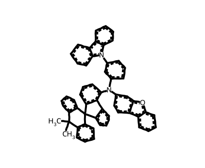 CC1(C)c2ccccc2C2(c3ccccc3-c3c(N(c4cccc(-n5c6ccccc6c6ccccc65)c4)c4ccc5c(c4)oc4ccccc45)cccc32)c2ccccc21